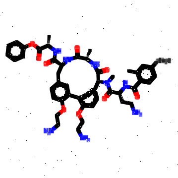 CCCCCCCc1ccc(C(=O)N[C@@H](CCN)C(=O)N(C)[C@@H]2C(=O)N[C@@H](C)C(=O)N[C@H](C(=O)N[C@@H](C)C(=O)Oc3ccccc3)Cc3ccc(OCCN)c(c3)-c3cc2ccc3OCCN)c(C)c1